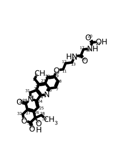 CCc1c2c(nc3ccc(OCCCNC(=O)CNC(=O)O)cc13)-c1cc3c(c(=O)n1C2)COC(=O)[C@]3(O)CC